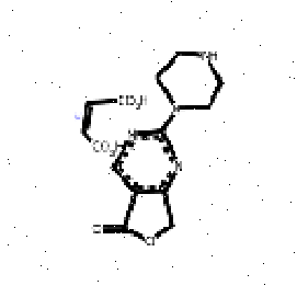 O=C(O)/C=C\C(=O)O.O=C1OCc2nc(N3CCNCC3)ncc21